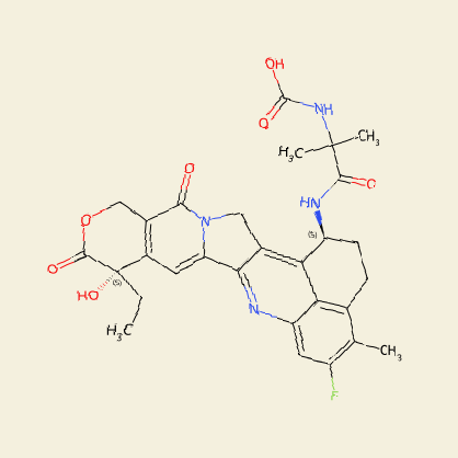 CC[C@@]1(O)C(=O)OCc2c1cc1n(c2=O)Cc2c-1nc1cc(F)c(C)c3c1c2[C@@H](NC(=O)C(C)(C)NC(=O)O)CC3